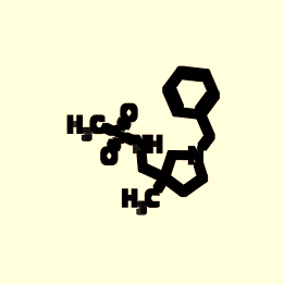 CC1(CNS(C)(=O)=O)CCN(Cc2ccccc2)C1